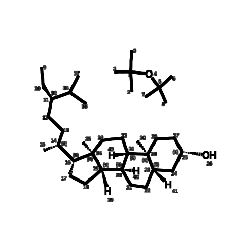 CC(C)(C)OC(C)(C)C.CC[C@H](CC[C@@H](C)[C@H]1CC[C@H]2[C@@H]3CC[C@H]4C[C@@H](O)CC[C@]4(C)[C@H]3CC[C@]12C)C(C)C